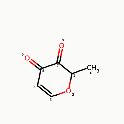 CC1OC=CC(=O)C1=O